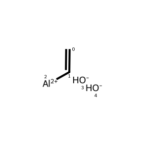 C=[CH][Al+2].[OH-].[OH-]